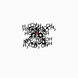 CC(C)(C)OC(=O)NCC1O[C@H](O[C@@H]2C(NC(=O)OC(C)(C)C)C[C@@H](NC(=O)OC(C)(C)C)[C@@H](O[C@H]3OC(CN=[N+]=[N-])[C@@H](O)[C@@H](NC(=O)OC(C)(C)C)C3O)C2O)C(O)[C@@H](O)[C@@H]1O